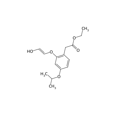 CCOC(=O)Cc1ccc(OC(C)C)cc1OC=CO